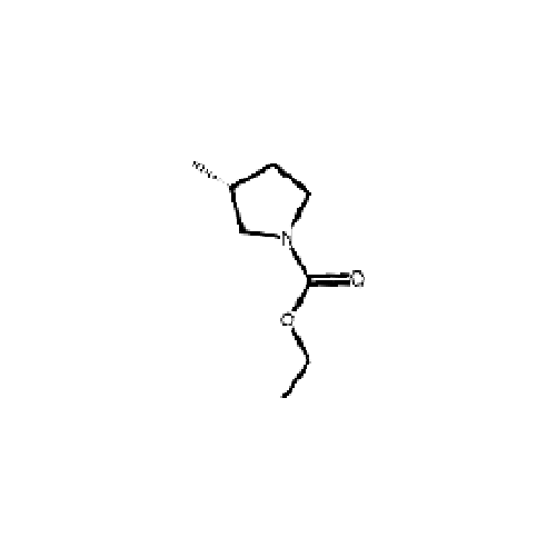 CCOC(=O)N1CC[C@@H](C)C1